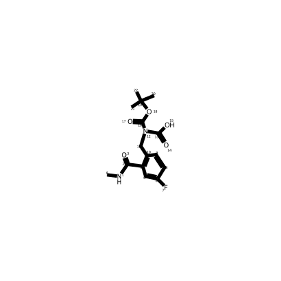 CNC(=O)c1cc(F)ccc1CN(C(=O)O)C(=O)OC(C)(C)C